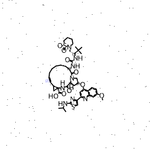 COc1ccc2c(O[C@@H]3C[C@H]4C(=O)N[C@]5(C(=O)O)CC5/C=C\CCCCC[C@H](NC(=O)N[C@H](CN5CCCCS5(=O)=O)C(C)(C)C)C(=O)N4C3)cc(-c3csc(NC(C)C)n3)nc2c1